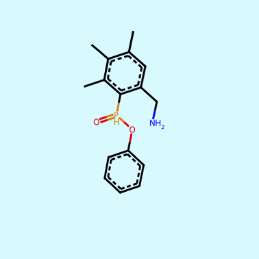 Cc1cc(CN)c([PH](=O)Oc2ccccc2)c(C)c1C